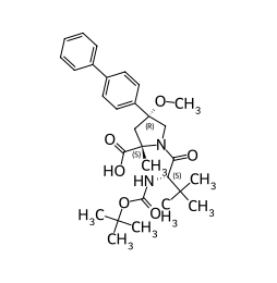 CO[C@]1(c2ccc(-c3ccccc3)cc2)CN(C(=O)[C@@H](NC(=O)OC(C)(C)C)C(C)(C)C)[C@](C)(C(=O)O)C1